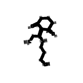 CCC(NCCCO)=C1C(=O)CCCC1=O